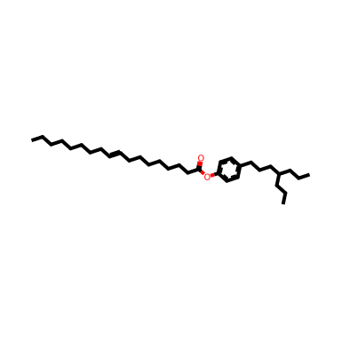 CCCCCCCCC=CCCCCCCCC(=O)Oc1ccc(CCCC(CCC)CCC)cc1